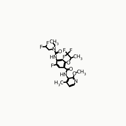 CCN(CC(F)F)C(=O)Nc1cc(OC(C)C(F)(F)F)c(C(=O)Nc2c(C)ccnc2OC)cc1F